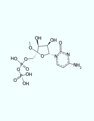 CO[C@]1(COP(=O)(O)OP(=O)(O)O)O[C@@H](n2ccc(N)nc2=O)[C@H](O)[C@@H]1O